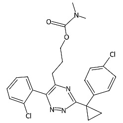 CN(C)C(=O)OCCCc1nc(C2(c3ccc(Cl)cc3)CC2)nnc1-c1ccccc1Cl